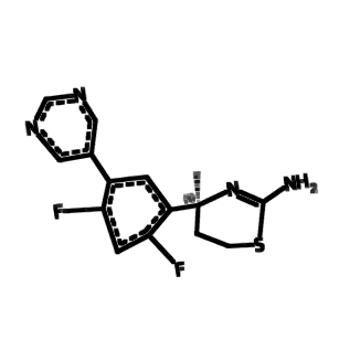 C[C@@]1(c2cc(-c3cncnc3)c(F)cc2F)CCSC(N)=N1